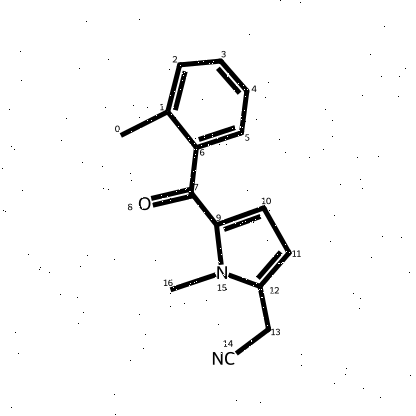 Cc1ccccc1C(=O)c1ccc(CC#N)n1C